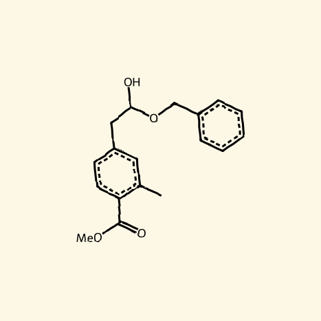 COC(=O)c1ccc(CC(O)OCc2ccccc2)cc1C